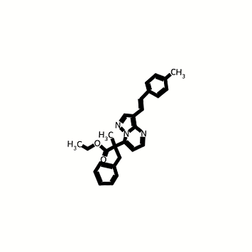 CCOC(=O)C(C)(Cc1ccccc1)c1ccnc2c(C=Cc3ccc(C)cc3)cnn12